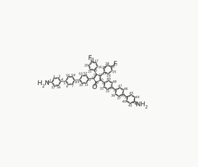 Nc1ccc(-c2ccc(-c3ccc(C4=C(c5ccc(F)cc5)C(c5ccc(F)cc5)=C(c5ccc(-c6ccc(-c7ccc(N)cc7)cc6)cc5)C4=O)cc3)cc2)cc1